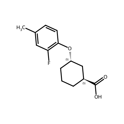 Cc1ccc(O[C@H]2CCC[C@H](C(=O)O)C2)c(F)c1